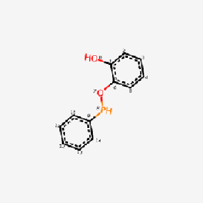 Oc1ccccc1OPc1ccccc1